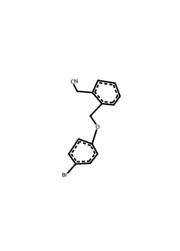 N#CCc1ccccc1COc1ccc(Br)cc1